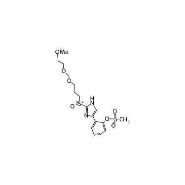 COCCOCOCCC[S@+]([O-])c1nc(-c2ccccc2OS(C)(=O)=O)c[nH]1